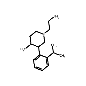 CC(C)c1ccccc1C1CN(CCN)CCN1C